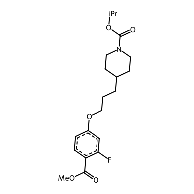 COC(=O)c1ccc(OCCCC2CCN(C(=O)OC(C)C)CC2)cc1F